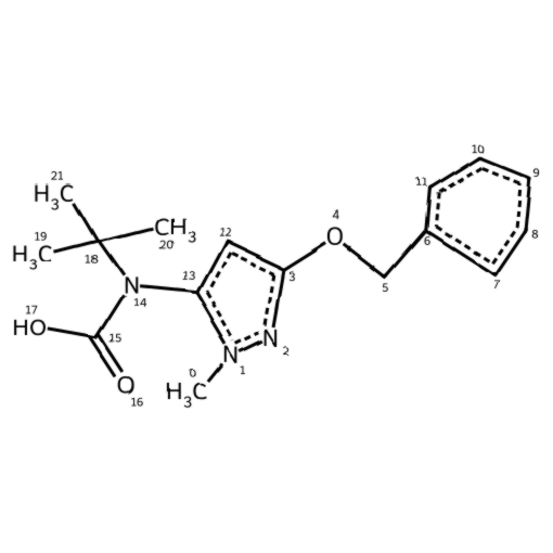 Cn1nc(OCc2ccccc2)cc1N(C(=O)O)C(C)(C)C